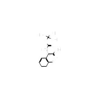 CC(C)(C)OC(=O)N[C@@H](C(=O)O)C1=C(F)CCC=C1